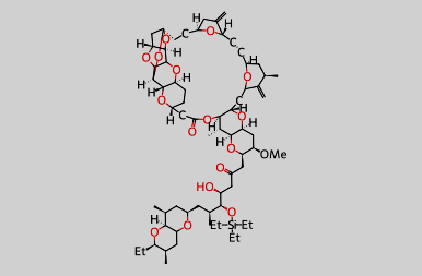 C=C1C2C[C@@H]3O[C@H]4C[C@@H](OC)[C@@H](CC(=O)C[C@H](O)[C@@H](O[Si](CC)(CC)CC)[C@@H](C)C[C@@H]5C[C@H](C)[C@@H]6O[C@H](CC)[C@H](C)CC6O5)O[C@H]4[C@H](C)[C@H]3OC(=O)C[C@H]3CC[C@@H]4OC5C6O[C@@H]7C[C@](CC[C@H]8CC(=C)[C@H](CC[C@@H](C[C@H]1C)O2)O8)(O[C@H]6[C@H]4O3)O[C@@H]57